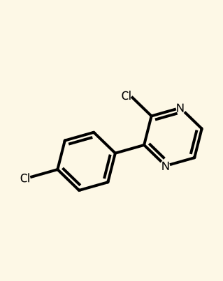 Clc1ccc(-c2nccnc2Cl)cc1